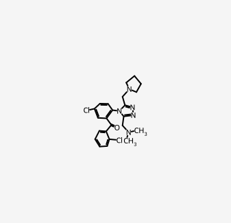 CN(C)Cc1nnc(CN2CCCC2)n1-c1ccc(Cl)cc1C(=O)c1ccccc1Cl